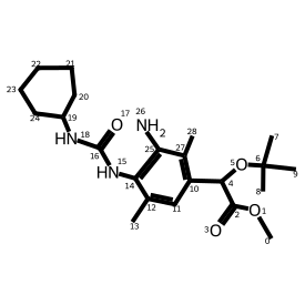 COC(=O)C(OC(C)(C)C)c1cc(C)c(NC(=O)NC2CCCCC2)c(N)c1C